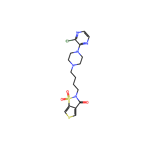 O=C1c2cscc2S(=O)(=O)N1CCCCN1CCN(c2nccnc2Cl)CC1